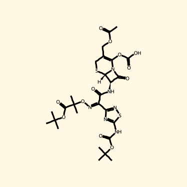 CC(=O)OCC1=C(OC(=O)O)N2C(=O)[C@@H](NC(=O)/C(=N\OC(C)(C)C(=O)OC(C)(C)C)c3nsc(NC(=O)OC(C)(C)C)n3)[C@@H]2SC1